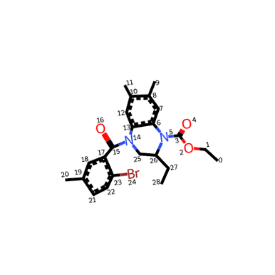 CCOC(=O)N1c2cc(C)c(C)cc2N(C(=O)c2cc(C)ccc2Br)CC1CC